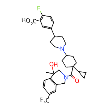 C[C@@]1(O)CN(C(=O)C2(C3CC3)CCC(N3CCC(c4ccc(F)c(C(=O)O)c4)CC3)CC2)Cc2cc(C(F)(F)F)ccc21